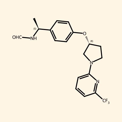 C[C@H](NC=O)c1ccc(O[C@@H]2CCN(c3cccc(C(F)(F)F)n3)C2)cc1